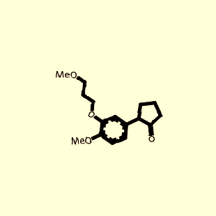 COCCCOc1cc(C2CCCC2=O)ccc1OC